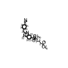 CCOC(=O)CCCN(CC)S(=O)(=O)c1ccc2c(c1)nc(Cc1ccc(C#N)cc1)n2C